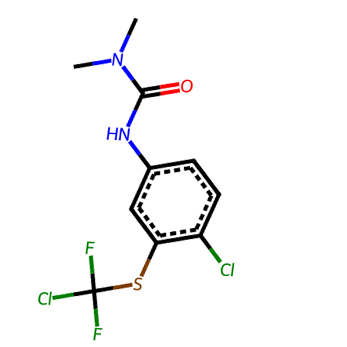 CN(C)C(=O)Nc1ccc(Cl)c(SC(F)(F)Cl)c1